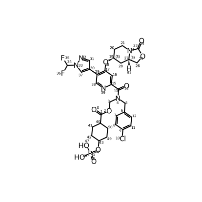 O=C(OCN(Cc1ccc(Cl)cc1)C(=O)c1cc(O[C@H]2CCN3C(=O)OC[C@@H]3C2)c(-c2cnn(C(F)F)c2)cn1)C1CCC(OP(=O)(O)O)CC1